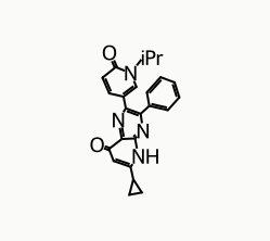 CC(C)n1cc(-c2nc3c(=O)cc(C4CC4)[nH]c3nc2-c2ccccc2)ccc1=O